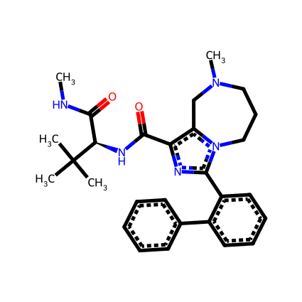 CNC(=O)[C@@H](NC(=O)c1nc(-c2ccccc2-c2ccccc2)n2c1CN(C)CCC2)C(C)(C)C